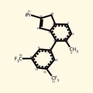 Cc1ccc2c(c1-c1cc(C(F)(F)F)cc(C(F)(F)F)c1)C=C(C(C)C)[CH]2